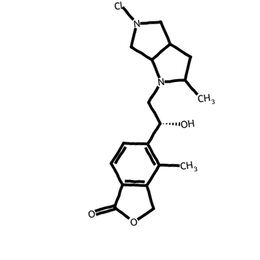 Cc1c([C@@H](O)CN2C(C)CC3CN(Cl)CC32)ccc2c1COC2=O